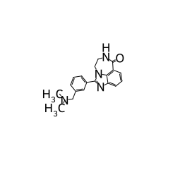 CN(C)Cc1cccc(-c2nc3cccc4c3n2CCNC4=O)c1